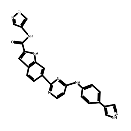 O=C(Nc1cnoc1)c1cc2ccc(-c3nccc(Nc4ccc(-c5cn[nH]c5)cc4)n3)cc2[nH]1